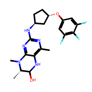 Cc1nc(N[C@H]2CC[C@H](Oc3cc(F)c(F)c(F)c3)C2)nc2c1NC(O)[C@H](C)N2C